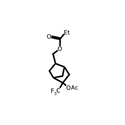 CCC(=O)OCC1CC2CC1CC2(OC(C)=O)C(F)(F)F